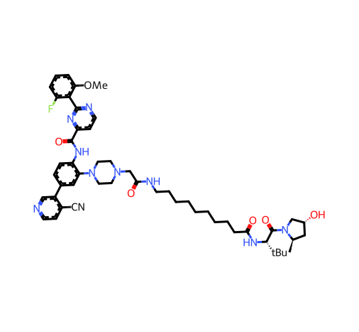 COc1cccc(F)c1-c1nccc(C(=O)Nc2ccc(-c3cnccc3C#N)cc2N2CCN(CC(=O)NCCCCCCCCCC(=O)N[C@H](C(=O)N3C[C@H](O)C[C@H]3C)C(C)(C)C)CC2)n1